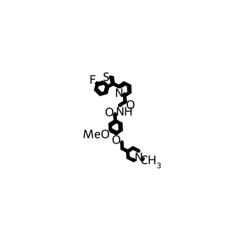 COc1cc(C(=O)NCC(=O)c2cccc(-c3csc4c(F)cccc34)n2)ccc1OCCC1CCN(C)CC1